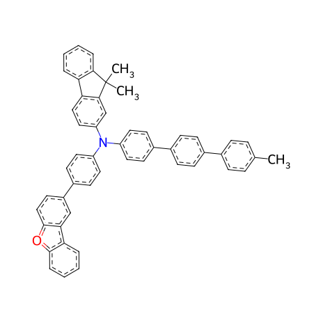 Cc1ccc(-c2ccc(-c3ccc(N(c4ccc(-c5ccc6oc7ccccc7c6c5)cc4)c4ccc5c(c4)C(C)(C)c4ccccc4-5)cc3)cc2)cc1